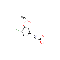 CC(O)Oc1cc(/C=C/C(=O)O)ccc1Cl